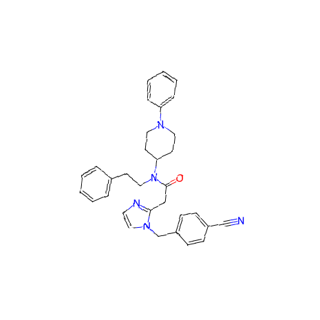 N#Cc1ccc(Cn2ccnc2CC(=O)N(CCc2ccccc2)C2CCN(c3ccccc3)CC2)cc1